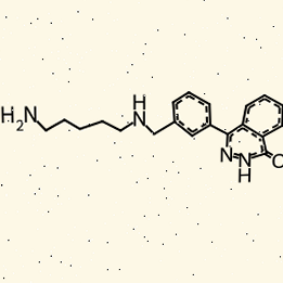 NCCCCCNCc1cccc(-c2n[nH]c(=O)c3ccccc23)c1